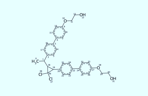 CC(c1ccc(-c2ccc(OCCO)cc2)cc1)C1C(c2ccc(-c3ccc(OCCO)cc3)cc2)C1(Cl)Cl